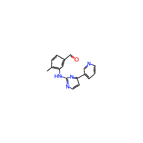 Cc1ccc(C=O)cc1Nc1nccc(-c2cccnc2)n1